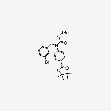 CC(C)(C)OC(=O)N(Cc1cccc(Br)c1)c1ccc(B2OC(C)(C)C(C)(C)O2)cc1